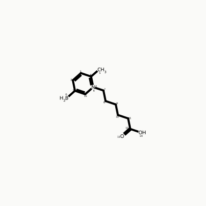 Bc1ccc(C)[n+](CCCCCC(=O)O)c1